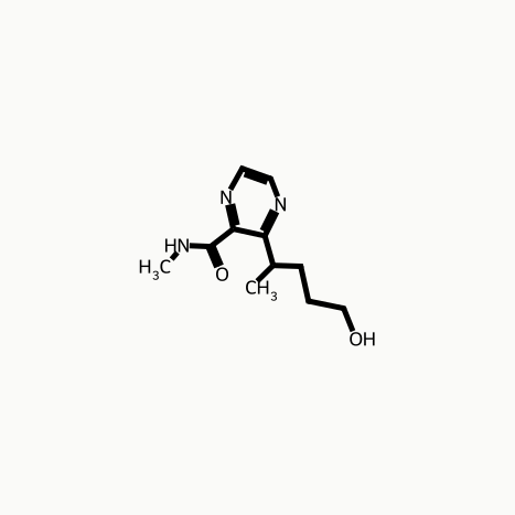 CNC(=O)c1nccnc1C(C)CCCO